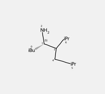 CCC(C)[C@H](N)C(CC(C)C)C(C)C